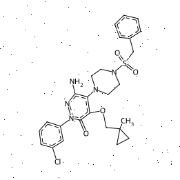 CC1(COc2c(N3CCN(S(=O)(=O)Cc4ccccc4)CC3)c(N)nn(-c3cccc(Cl)c3)c2=O)CC1